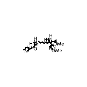 COc1ncc(-c2c(C3CC3)[nH]c3nnc(CCCCN4C=C(C(=O)NCc5ccc(C)nc5)NN4)cc23)c(OC)n1